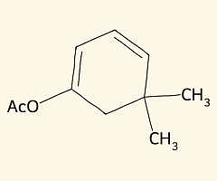 CC(=O)OC1=CC=CC(C)(C)C1